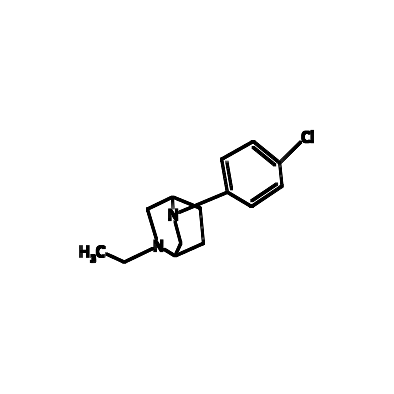 CCN1CC2CCC1CN2c1ccc(Cl)cc1